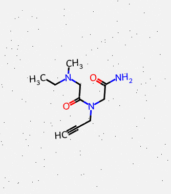 C#CCN(CC(N)=O)C(=O)CN(C)CC